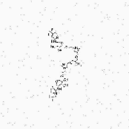 CC(COCc1cn(CCOC[C@H]2OC[C@H](Nc3nccc(C(F)(F)F)n3)[C@@H](O)[C@H]2O)nn1)COCc1cn(CCOC[C@H]2OC[C@H](Nc3nccc(C(F)(F)F)n3)[C@@H](O)[C@H]2O)nn1